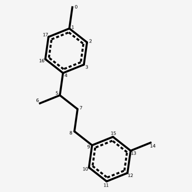 Cc1ccc(C(C)CCc2cccc(C)c2)cc1